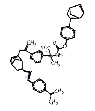 C=C(C)c1ccc(/C=C/C2CC3C=C(CC(=C)c4cccc(C(C)(C)NC(=O)Oc5ccc(C6CC7C=CC6C7)cc5)c4)C2C3)cc1